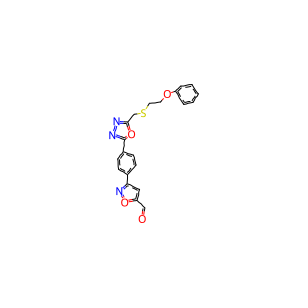 O=Cc1cc(-c2ccc(-c3nnc(CSCCOc4ccccc4)o3)cc2)no1